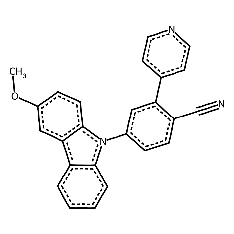 COc1ccc2c(c1)c1ccccc1n2-c1ccc(C#N)c(-c2ccncc2)c1